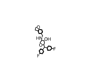 OC1CC(C(c2ccc(F)cc2)c2ccc(F)cc2)OCC1NCc1ccc2c(c1)CCO2